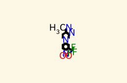 Cc1ncnc2c1CCN(c1ccc([N+](=O)[O-])c(C(F)(F)F)c1)C2